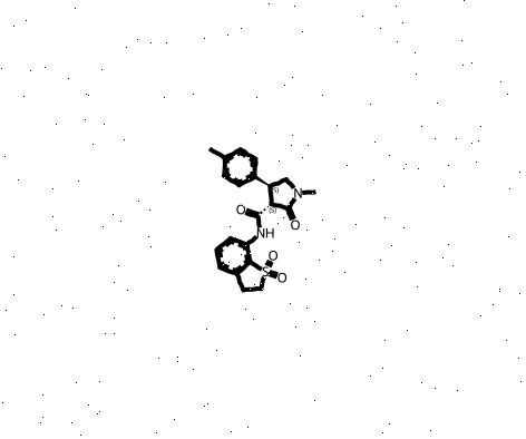 Cc1ccc([C@H]2CN(C)C(=O)[C@@H]2C(=O)Nc2cccc3c2S(=O)(=O)CC3)cc1